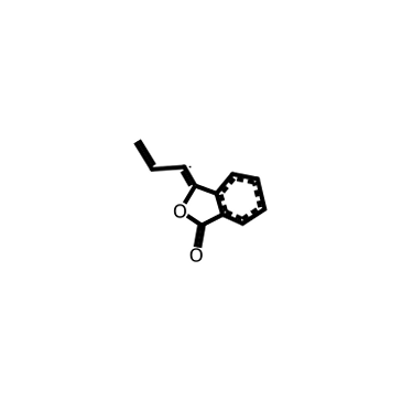 C=C/[C]=C1\OC(=O)c2ccccc21